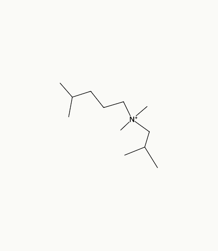 CC(C)CCC[N+](C)(C)CC(C)C